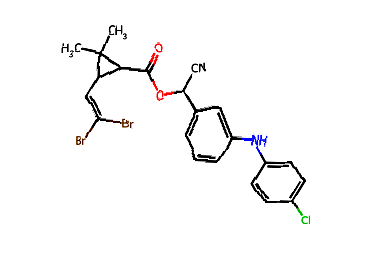 CC1(C)C(C=C(Br)Br)C1C(=O)OC(C#N)c1cccc(Nc2ccc(Cl)cc2)c1